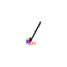 CCCCCCCCCCCCCCCCCC(C)(CC)C1ON=NC1O